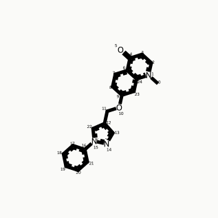 Cn1ccc(=O)c2ccc(OCc3cnn(-c4ccccc4)c3)cc21